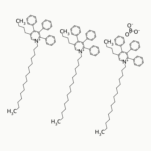 CCCCCCCCCCCCCCCC[n+]1cc(CCCC)c(-c2ccccc2)c(-c2ccccc2)c1-c1ccccc1.CCCCCCCCCCCCCCCC[n+]1cc(CCCC)c(-c2ccccc2)c(-c2ccccc2)c1-c1ccccc1.CCCCCCCCCCCCCCCC[n+]1cc(CCCC)c(-c2ccccc2)c(-c2ccccc2)c1-c1ccccc1.[O-]B([O-])[O-]